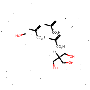 C=C(C)C(=O)O.C=C(C)C(=O)O.C=C(C)C(=O)O.CCC(CO)(CO)CO.CO